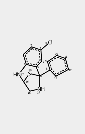 Clc1ccc2c(c1)C1(c3ccccc3)NCC(N2)S1